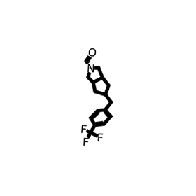 O=CN1CC2CC(Cc3ccc(C(F)(F)F)cc3)CC2C1